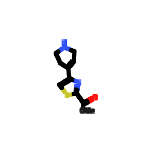 COC(=O)c1nc(C2=CCNCC2)cs1